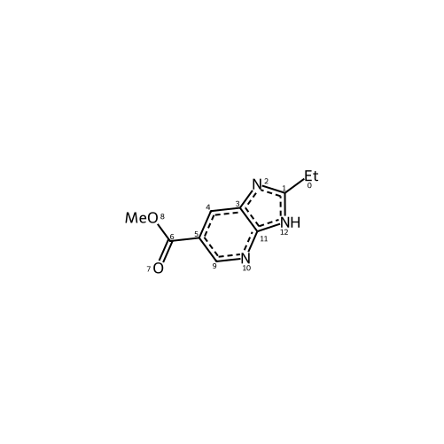 CCc1nc2cc(C(=O)OC)cnc2[nH]1